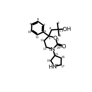 CC(C)(O)CC1(c2ccccc2)CCN(C2CCNC2)C(=O)O1